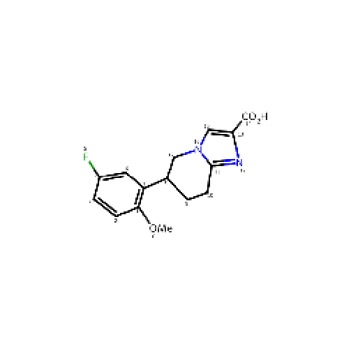 COc1ccc(F)cc1C1CCc2nc(C(=O)O)cn2C1